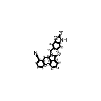 N#Cc1cccc(F)c1C[C@@H]1c2ccccc2C(=O)N1Cc1ccc2[nH]c(=O)oc2c1